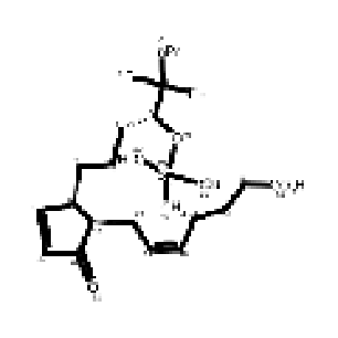 CCCC(F)(F)[C@@H](CCC[C@@H]1C=CC(=O)[C@@H]1C/C=C\CCCC(=O)O)O[Si](C)(C)C(C)(C)C